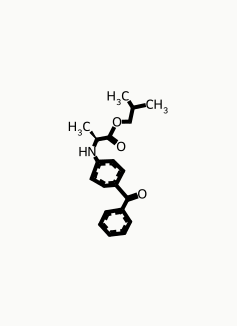 CC(C)COC(=O)[C@H](C)Nc1ccc(C(=O)c2ccccc2)cc1